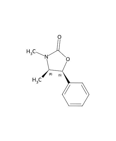 C[C@@H]1[C@H](c2ccccc2)OC(=O)N1C